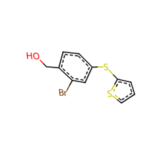 OCc1ccc(Sc2cccs2)cc1Br